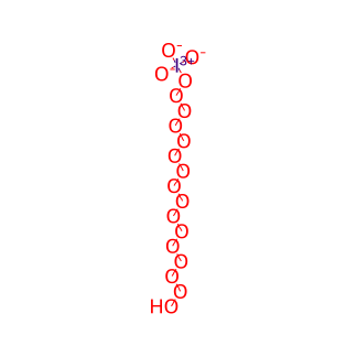 [O-][I+3]([O-])([O-])OOOOOOOOOOOOOOOO